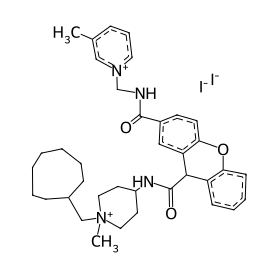 Cc1ccc[n+](CNC(=O)c2ccc3c(c2)C(C(=O)NC2CC[N+](C)(CC4CCCCCCC4)CC2)c2ccccc2O3)c1.[I-].[I-]